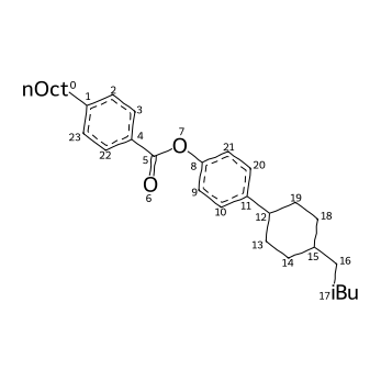 CCCCCCCCc1ccc(C(=O)Oc2ccc(C3CCC(CC(C)CC)CC3)cc2)cc1